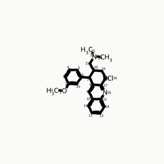 COc1cccc(C2c3cc4ccccc4nc3CCC2CN(C)C)c1.Cl